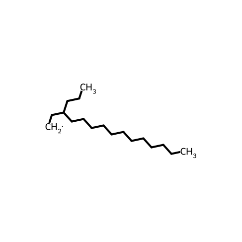 [CH2]CC(CCC)CCCCCCCCCCCC